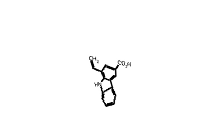 C=Cc1cc(C(=O)O)cc2c1[nH]c1ccccc12